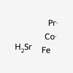 [Co].[Fe].[Pr].[SrH2]